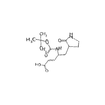 CC(C)(C)OC(=O)NC(/C=C/C(=O)O)CC1CCNC1=O